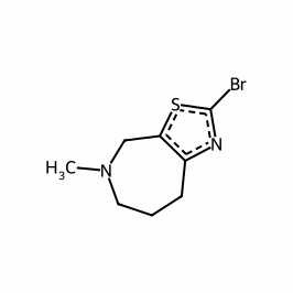 CN1CCCc2nc(Br)sc2C1